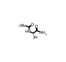 CCCCC(=O)N[C@H](C(N)=O)C(C)C